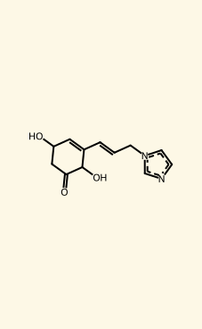 O=C1CC(O)C=C(C=CCn2ccnc2)C1O